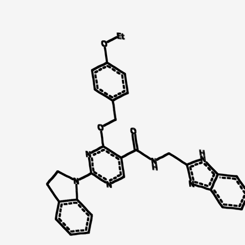 CCOc1ccc(COc2nc(N3CCc4ccccc43)ncc2C(=O)NCc2nc3ccccc3[nH]2)cc1